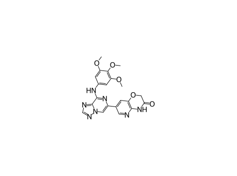 COc1cc(Nc2nc(-c3cnc4c(c3)OCC(=O)N4)cn3ncnc23)cc(OC)c1OC